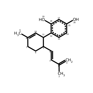 C=C(C)C=CC1CCC(C)=CC1c1ccc(O)cc1O